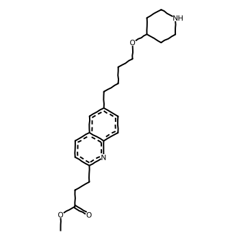 COC(=O)CCc1ccc2cc(CCCCOC3CCNCC3)ccc2n1